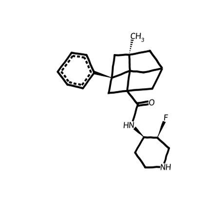 C[C@@]12CC3CC4(C(=O)N[C@@H]5CCNC[C@@H]5F)C[C@](c5ccccc5)(C1)C42C3